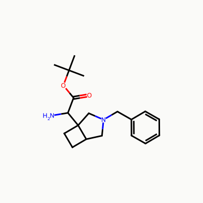 CC(C)(C)OC(=O)C(N)C12CCC1CN(Cc1ccccc1)C2